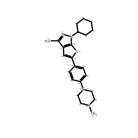 Cc1nn(C2CCCCC2)c2sc(-c3ccc(N4CCN(C)CC4)cc3)cc12